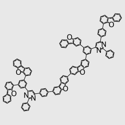 c1ccc(-c2nc(-c3ccc(-c4cccc5c4oc4ccccc45)cc3)cc(-c3cc(-c4ccc5oc6ccccc6c5c4)cc(-c4ccc5oc6cc(-c7ccc8c(c7)oc7ccc(-c9ccc(-c%10cc(-c%11cc(-c%12cccc%13c%12oc%12ccccc%12%13)cc(-c%12cccc%13c%12oc%12ccccc%12%13)c%11)nc(-c%11ccccc%11)n%10)cc9)cc78)ccc6c5c4)c3)n2)cc1